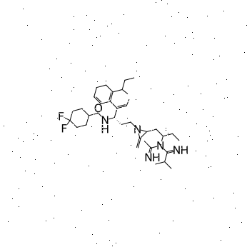 C=C1C(CC(CC)N(C(C)=N)C(=N)C(C)C)N1CC[C@H](NC(=O)C1CCC(F)(F)CC1)/C(=C/C)C1=C(C(C)CC)CCC=C1